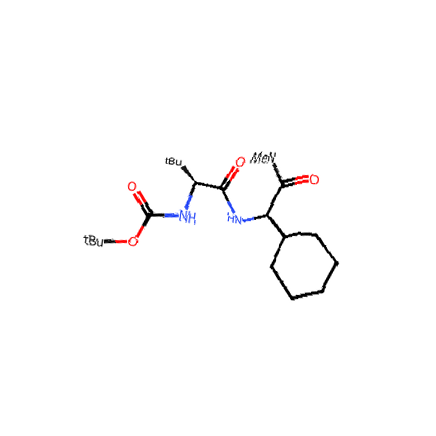 CNC(=O)C(NC(=O)[C@@H](NC(=O)OC(C)(C)C)C(C)(C)C)C1CCCCC1